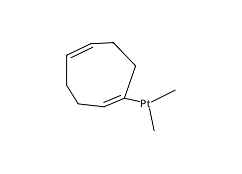 [CH3][Pt]([CH3])/[C]1=C/CC/C=C\CC1